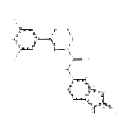 CCN(/N=C(\C)c1cc(F)cc(F)c1)C(=O)Cc1ccc2[nH]c(=O)[nH]c2c1